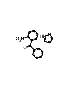 O=C(c1ccccc1)c1ccccc1[N+](=O)[O-].c1cn[nH]c1